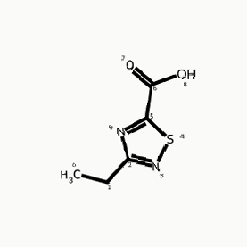 CCc1nsc(C(=O)O)n1